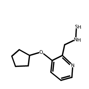 SNCc1ncccc1OC1CCCC1